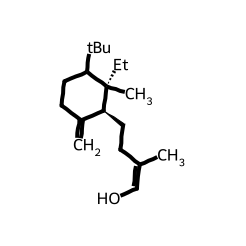 C=C1CCC(C(C)(C)C)[C@](C)(CC)[C@H]1CC/C(C)=C\O